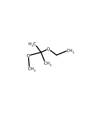 C[CH]OC(C)(C)OC